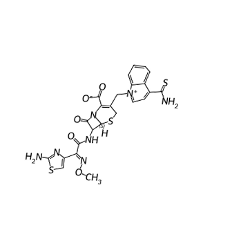 CON=C(C(=O)NC1C(=O)N2C(C(=O)[O-])=C(C[n+]3ccc(C(N)=S)c4ccccc43)CS[C@@H]12)c1csc(N)n1